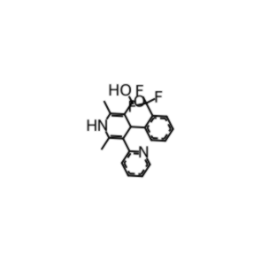 CC1=C(C(=O)O)C(c2ccccc2C(F)(F)F)C(c2ccccn2)=C(C)N1